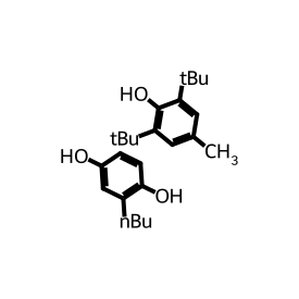 CCCCc1cc(O)ccc1O.Cc1cc(C(C)(C)C)c(O)c(C(C)(C)C)c1